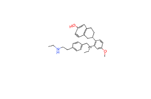 CCNCCc1ccc(C[As](CC)c2cc(OC)ccc2C2CCc3cc(O)ccc3C2)cc1